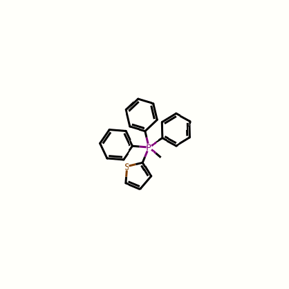 CP(c1ccccc1)(c1ccccc1)(c1ccccc1)c1cccs1